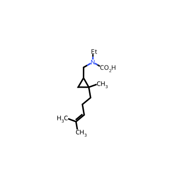 CCN(CC1CC1(C)CCC=C(C)C)C(=O)O